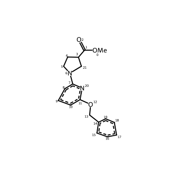 COC(=O)C1CCN(c2cccc(OCc3ccccc3)n2)C1